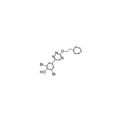 Oc1c(Br)cc(-c2cnc(OCCc3ccccc3)nn2)cc1Br